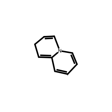 [C]1=CC2=CCC=CN2C=C1